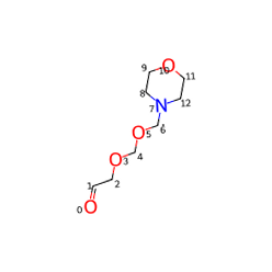 O=CCOCO[CH]N1CCOCC1